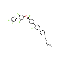 CCCCCc1ccc(-c2ccc(-c3ccc(C(F)(F)Oc4cc(F)c(-c5ccc(F)c(F)c5)c(F)c4)cc3)c(F)c2)cc1